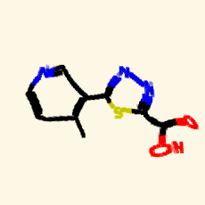 Cc1ccncc1-c1nnc(C(=O)O)s1